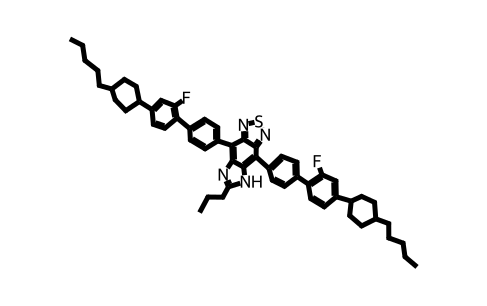 CCCCCC1CCC(c2ccc(-c3ccc(-c4c5nsnc5c(-c5ccc(-c6ccc(C7CCC(CCCCC)CC7)cc6F)cc5)c5[nH]c(CCC)nc45)cc3)c(F)c2)CC1